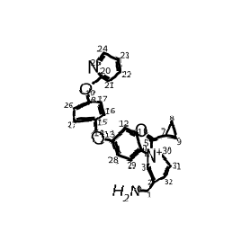 NCC1=C[N+](C(=O)C2CC2)(c2ccc(Oc3ccc(Oc4ccccn4)cc3)cc2)CC=C1